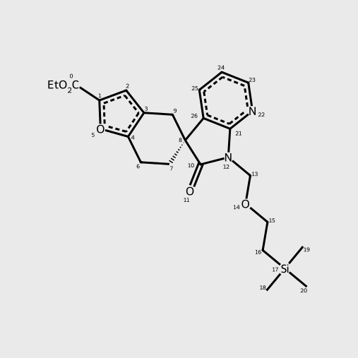 CCOC(=O)c1cc2c(o1)CC[C@@]1(C2)C(=O)N(COCC[Si](C)(C)C)c2ncccc21